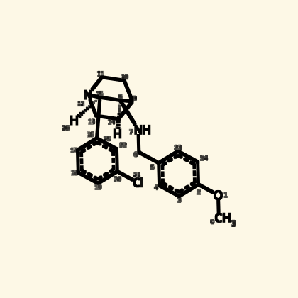 COc1ccc(CN[C@@H]2C3CCN(CC3)[C@@H]2c2cccc(Cl)c2)cc1